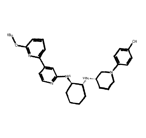 CC(C)(C)Oc1cccc(-c2ccnc(N[C@@H]3CCCC[C@H]3N[C@H]3CCCN(c4ccc(C#N)cc4)C3)c2)n1